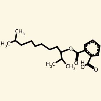 CC(C)CCCCCCC(OC(=O)c1ccccc1C(=O)O)C(C)C